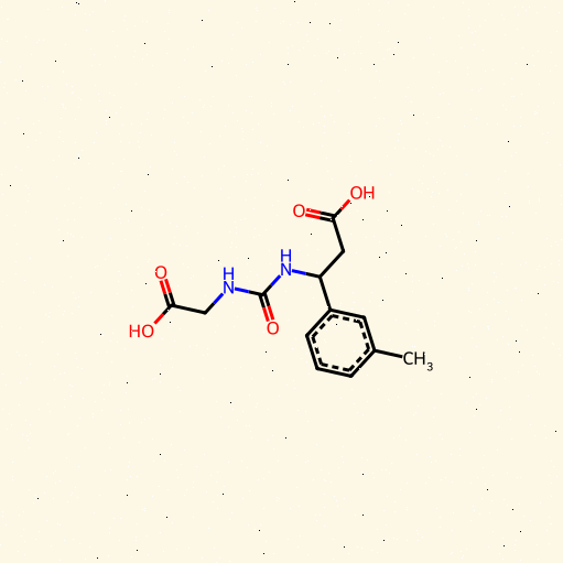 Cc1cccc(C(CC(=O)O)NC(=O)NCC(=O)O)c1